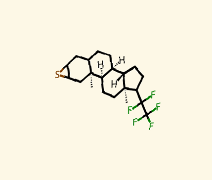 C[C@]12CC3SC3CC1CC[C@@H]1[C@H]2CC[C@]2(C)C(C(F)(F)C(F)(F)F)CC[C@@H]12